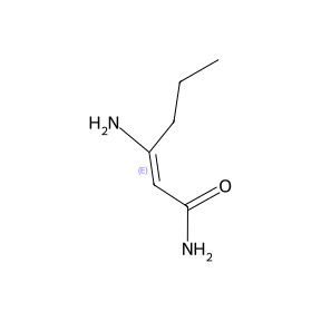 CCC/C(N)=C\C(N)=O